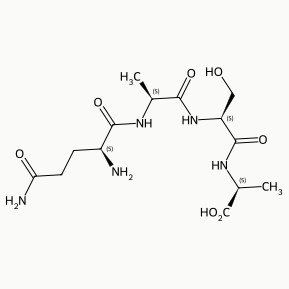 C[C@H](NC(=O)[C@H](CO)NC(=O)[C@H](C)NC(=O)[C@@H](N)CCC(N)=O)C(=O)O